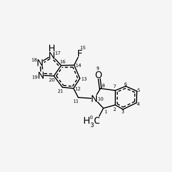 CC1c2ccccc2C(=O)N1Cc1cc(F)c2[nH]nnc2c1